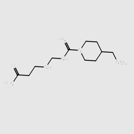 CNCC1CCN(C(=N)NCNCCC(N)=O)CC1